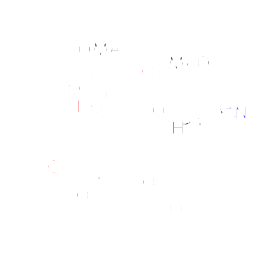 COC(=O)C[C@](O)(CCCC(C)(C)OC(=O)C1CC1)C(=O)O[C@@H]1C(OC)=C[C@]23CCCN2CCc2cc4c(cc2[C@H]13)OCO4